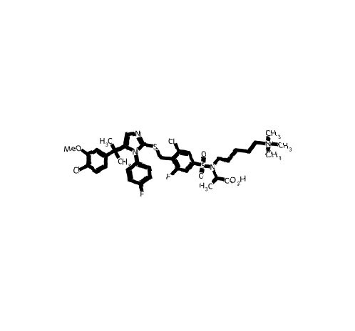 COc1cc(C(C)(C)c2cnc(SCc3c(F)cc(S(=O)(=O)N(CCCCC[N+](C)(C)C)C(C)C(=O)O)cc3Cl)n2-c2ccc(F)cc2)ccc1Cl